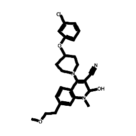 COCCc1ccc2c(c1)N(C)C(O)C(C#N)=C2N1CCC(Oc2cccc(Cl)c2)CC1